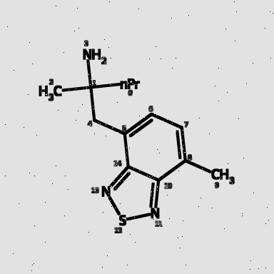 CCCC(C)(N)Cc1ccc(C)c2nsnc12